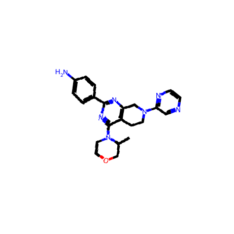 CC1COCCN1c1nc(-c2ccc(N)cc2)nc2c1CCN(c1cnccn1)C2